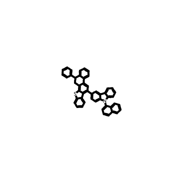 c1ccc(C2Cc3c(cc(-c4ccc5c(c4)c4ccccc4n5-c4cccc5ccccc45)c4c3sc3ccccc34)-c3ccccc32)cc1